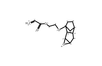 C=CC(=O)OCCOC12CCC(C1)C1CC3OC3C12